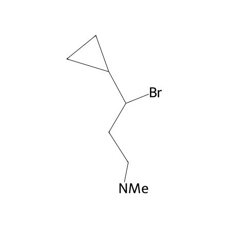 CNCCC(Br)C1CC1